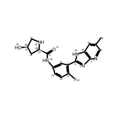 Cc1cnc2nc(-c3cc(NC(=O)[C@H]4C[C@@H](O)CN4)ccc3F)[nH]c2c1